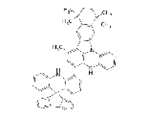 Cc1cc(-c2cccc3c2Nc2ccccc2C32c3ccccc3-c3ccccc32)c2c3c1c1cc4c(cc1n3-c1ccccc1B2)C(C)(C)CCC4(C)C